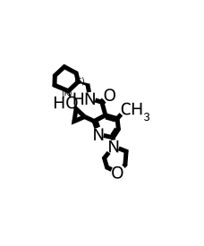 Cc1cc(N2CCOCC2)nc(C2CC2)c1C(=O)NC[C@@H]1CCCC[C@H]1O